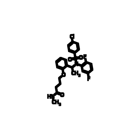 CNC(=O)CCCOc1ccccc1C(C)N(c1cc(F)ccc1F)S(=O)(=O)c1ccc(Cl)cc1